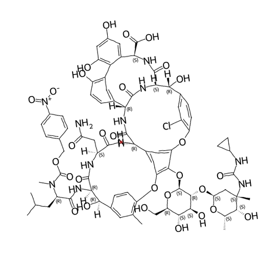 Cc1cc2ccc1Oc1cc3cc(c1O[C@@H]1O[C@H](CO)[C@@H](O)[C@H](O)[C@H]1O[C@H]1C[C@](C)(NC(=O)NC4CC4)[C@H](O)[C@H](C)O1)Oc1ccc(cc1Cl)[C@@H](O)[C@@H]1NC(=O)[C@H](NC(=O)[C@@H]3NC(=O)[C@H](CC(N)=O)NC(=O)[C@H](NC(=O)[C@@H](CC(C)C)N(C)C(=O)OCc3ccc([N+](=O)[O-])cc3)[C@@H]2O)c2ccc(O)c(c2)-c2c(O)cc(O)cc2[C@@H](C(=O)O)NC1=O